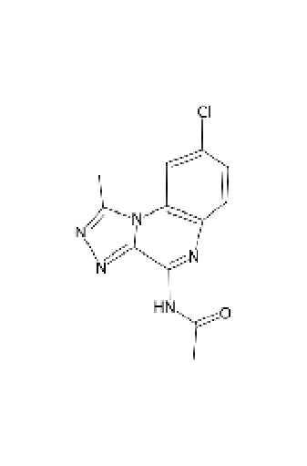 CC(=O)Nc1nc2ccc(Cl)cc2n2c(C)nnc12